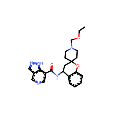 CCOCN1CCC2(CC1)CC(NC(=O)c1cncc3cn[nH]c13)c1ccccc1O2